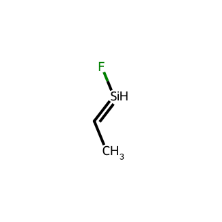 CC=[SiH]F